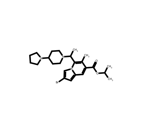 Cc1c(C(=O)OC(C)C)cc2cc(Br)cn2c1C(C)N1CCC(N2CCCC2)CC1